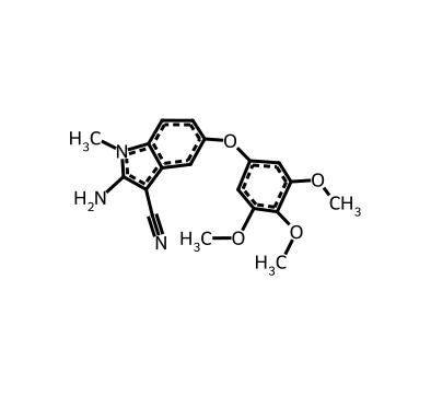 COc1cc(Oc2ccc3c(c2)c(C#N)c(N)n3C)cc(OC)c1OC